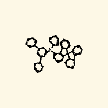 c1ccc(-c2cc(-c3ccccc3)cc(N(c3ccccc3)c3cccc4c3-c3ccccc3C43c4ccccc4-c4ccccc43)c2)cc1